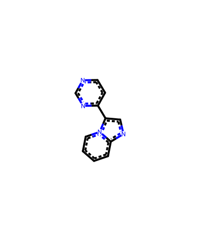 c1ccn2c(-c3ccncn3)cnc2c1